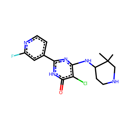 CC1(C)CNCCC1Nc1nc(-c2ccnc(F)c2)[nH]c(=O)c1Cl